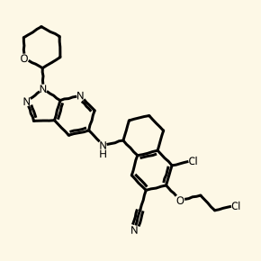 N#Cc1cc2c(c(Cl)c1OCCCl)CCCC2Nc1cnc2c(cnn2C2CCCCO2)c1